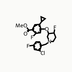 COC(=O)c1cc(C2CC2)c(OC2CN(Cc3ccc(F)cc3Cl)CCC2F)cc1F